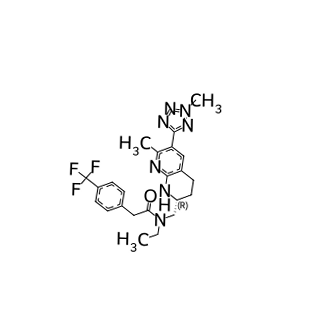 CCN(C[C@H]1CCc2cc(-c3nnn(C)n3)c(C)nc2N1)C(=O)Cc1ccc(C(F)(F)F)cc1